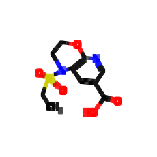 CCS(=O)(=O)N1CCOc2ncc(C(=O)O)cc21